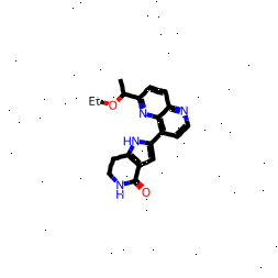 CCOC(C)c1ccc2nccc(-c3cc4c([nH]3)CCNC4=O)c2n1